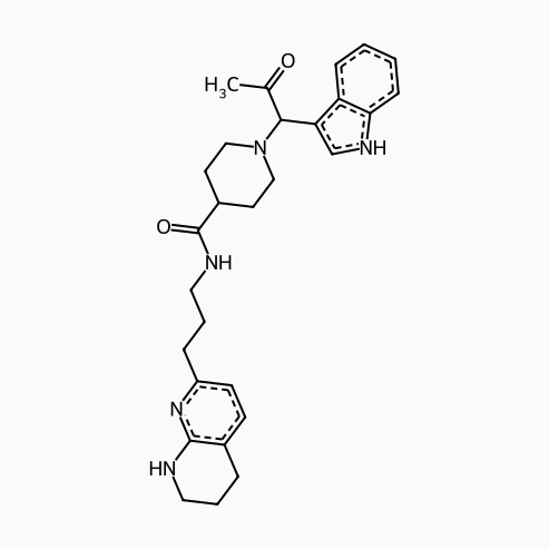 CC(=O)C(c1c[nH]c2ccccc12)N1CCC(C(=O)NCCCc2ccc3c(n2)NCCC3)CC1